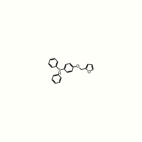 c1ccc([SH](c2ccccc2)c2ccc(OCc3ccco3)cc2)cc1